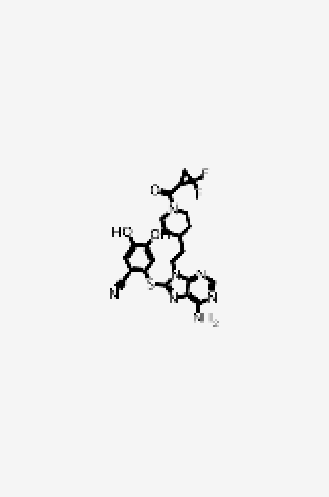 N#Cc1cc(O)c(O)cc1Sc1nc2c(N)ncnc2n1CCC1CCN(C(=O)C2CC2(F)F)CC1